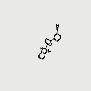 Cn1c(-c2ccc(-c3cccc(C#N)c3)o2)nc2ccccc21